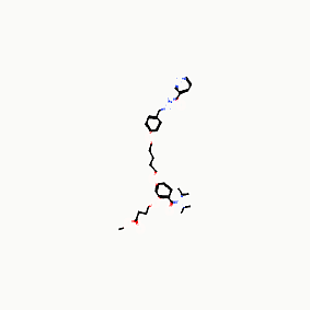 CCOC(=O)CCCOc1cc(OCCCCCOc2ccc(CN=NC(=O)c3cccnc3)cc2)ccc1C(=O)N(C(C)C)C(C)C